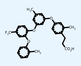 Cc1cc(Oc2ccc(CCC(=O)O)c(C)c2)cc(Oc2ccc(C(F)(F)F)cc2Oc2ccccc2C)c1